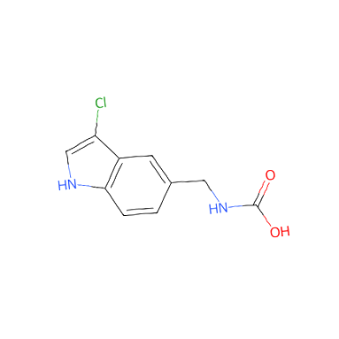 O=C(O)NCc1ccc2[nH]cc(Cl)c2c1